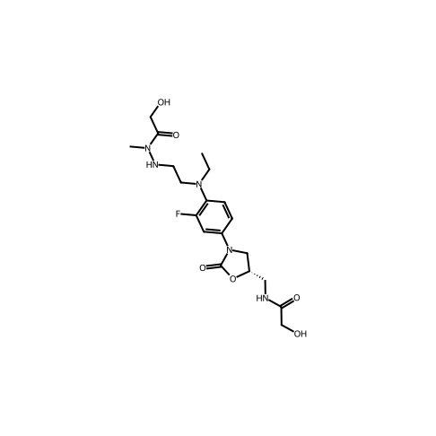 CCN(CCNN(C)C(=O)CO)c1ccc(N2C[C@H](CNC(=O)CO)OC2=O)cc1F